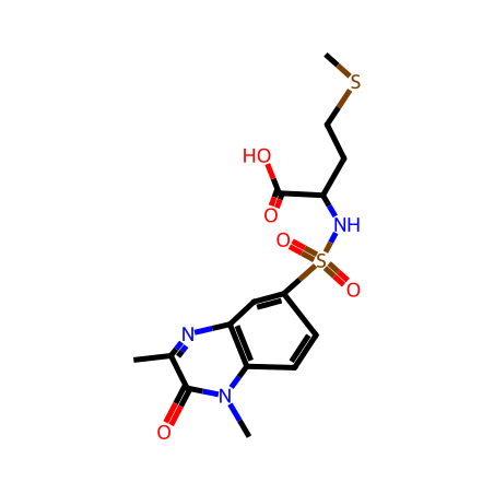 CSCCC(NS(=O)(=O)c1ccc2c(c1)nc(C)c(=O)n2C)C(=O)O